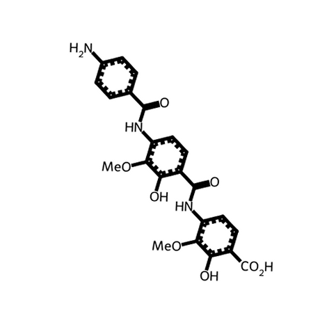 COc1c(NC(=O)c2ccc(NC(=O)c3ccc(N)cc3)c(OC)c2O)ccc(C(=O)O)c1O